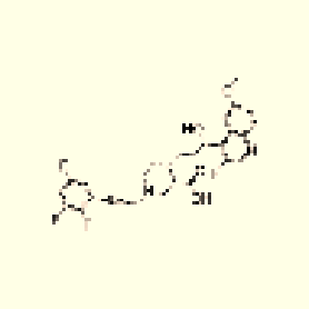 COc1ccc2ncc(F)c([C@@H](O)CC[C@H]3CCN(CC#Cc4cc(F)cc(F)c4F)C[C@H]3C(=O)O)c2c1